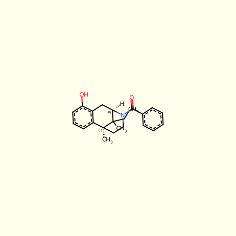 CCC1(C)[C@H]2Cc3c(O)cccc3[C@]1(C)CCN2C(=O)c1ccccc1